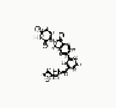 O=C1CCC(N2Cc3cc(-c4cc(CNCC5CCO5)ccn4)ccc3C2=O)C(=O)N1